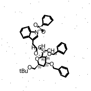 C[SiH](C)[C@]1(OCCc2cn(S(=O)(=O)c3ccccc3)c3ccccc23)O[C@H](COC(C)(C)C)C[C@H](OCc2ccccc2)[C@H]1OCc1ccccc1